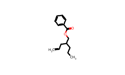 C=CCC(CCC)COC(=O)c1ccccc1